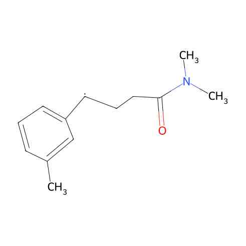 Cc1cccc([CH]CCC(=O)N(C)C)c1